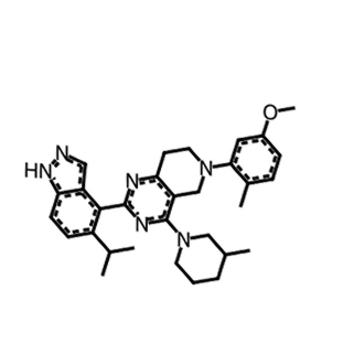 COc1ccc(C)c(N2CCc3nc(-c4c(C(C)C)ccc5[nH]ncc45)nc(N4CCCC(C)C4)c3C2)c1